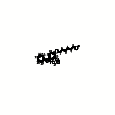 COCCCCCCOc1ccc([B]c2ccccc2)cc1.O.O